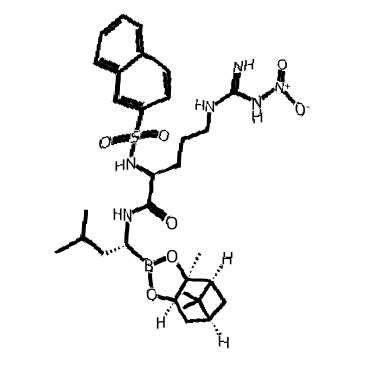 CC(C)C[C@H](NC(=O)[C@H](CCCNC(=N)N[N+](=O)[O-])NS(=O)(=O)c1ccc2ccccc2c1)B1O[C@@H]2C[C@@H]3C[C@@H](C3(C)C)[C@]2(C)O1